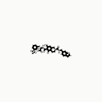 CS(=O)(=O)c1cccc(C[C@H](NC(=O)c2c(Cl)cc3c(c2Cl)CCN(C(=O)NCc2ccc4ccoc4c2)C3)C(=O)O)c1